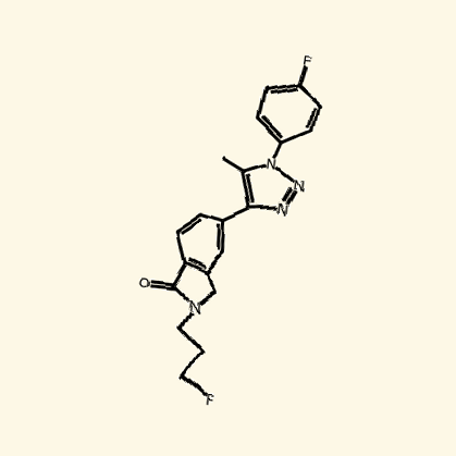 Cc1c(-c2ccc3c(c2)CN(CCCF)C3=O)nnn1-c1ccc(F)cc1